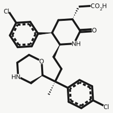 C[C@](CC[C@@H]1NC(=O)[C@@H](CC(=O)O)C[C@@H]1c1cccc(Cl)c1)(c1ccc(Cl)cc1)[C@H]1CNCCO1